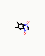 Cc1cc2c(cc1C)[n+]([O-])cc[n+]2[O-]